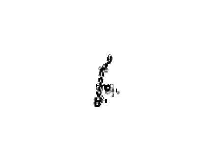 Nc1c(Cl)cc(C[C@@H](OC(=O)N2CCC(N3CCc4ccccc4NC3=O)CC2)C(=O)N2CCC(N3CCN(C(=O)C(=O)OCCCN4CCOCC4)CC3)CC2)cc1C(F)(F)F